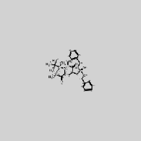 COC(=O)C(C[C@@H](O[Si](C)(C)C(C)(C)C)C(=O)OC)CP(=O)(OCc1ccccc1)OCc1ccccc1